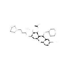 COc1ccc2nc3cc(OCCCN4CCCC4)c(OC)c(OC(=O)C(F)(F)F)c3c(NC3CCOCC3)c2c1